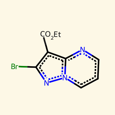 CCOC(=O)c1c(Br)nn2cccnc12